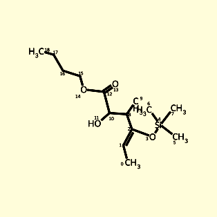 CC=C(O[Si](C)(C)C)C(C)C(O)C(=O)OCCCC